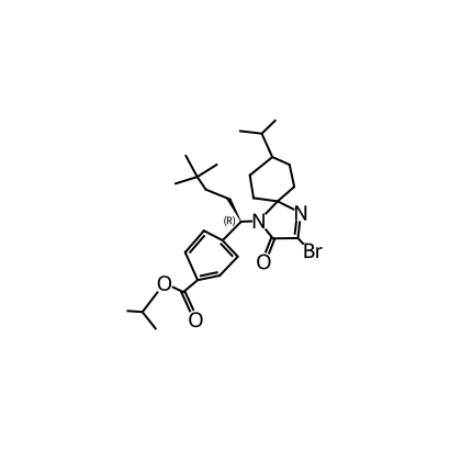 CC(C)OC(=O)c1ccc([C@@H](CCC(C)(C)C)N2C(=O)C(Br)=NC23CCC(C(C)C)CC3)cc1